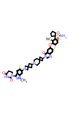 Cn1nc(N2CCC(=O)NC2=O)c2cc(F)c(N3CC4(CC(N5CCC6(CC5)CC(n5cnc7ccc(Oc8c(F)ccc(C9(S(N)(=O)=O)CCCC9)c8C#N)cc7c5=O)C6)C4)C3)cc21